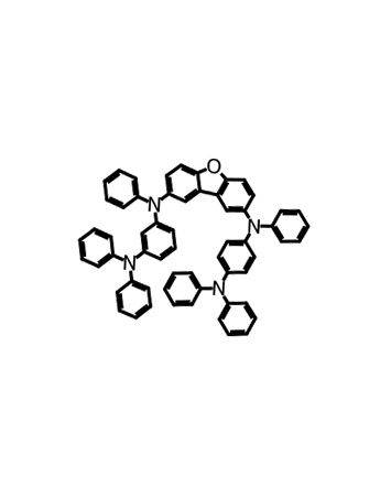 c1ccc(N(c2ccccc2)c2ccc(N(c3ccccc3)c3ccc4oc5ccc(N(c6ccccc6)c6cccc(N(c7ccccc7)c7ccccc7)c6)cc5c4c3)cc2)cc1